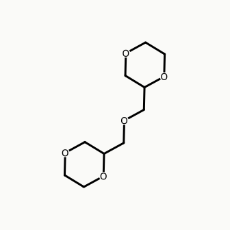 C1COC(COCC2COCCO2)CO1